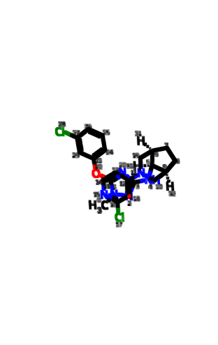 Cn1nc(N[C@H]2[C@@H]3CC[C@H]2CN(c2ccnc(Cl)c2)C3)nc1Oc1cccc(Cl)c1